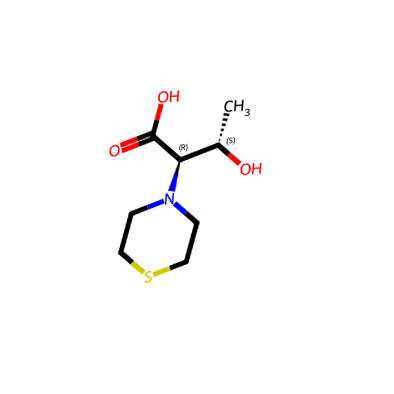 C[C@H](O)[C@H](C(=O)O)N1CCSCC1